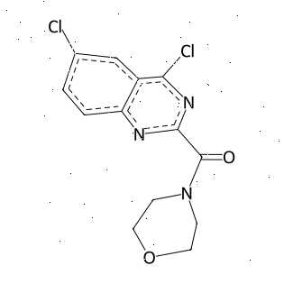 O=C(c1nc(Cl)c2cc(Cl)ccc2n1)N1CCOCC1